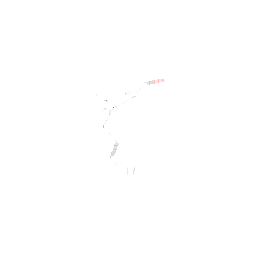 C/C=C/C[C@@H](C)[C@@H](O)C=O